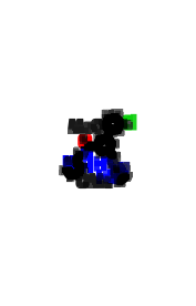 COc1ccnc(CNC(=O)c2cc(CNC3=NCCN3)cc(-c3cc(Cl)ccc3OC)c2)c1